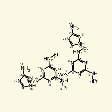 CCNc1nc(NC(C)C)nc(SC)n1.CCNc1nc(NC(C)C)nc(SC)n1.Nc1nc[nH]n1.Nc1nc[nH]n1